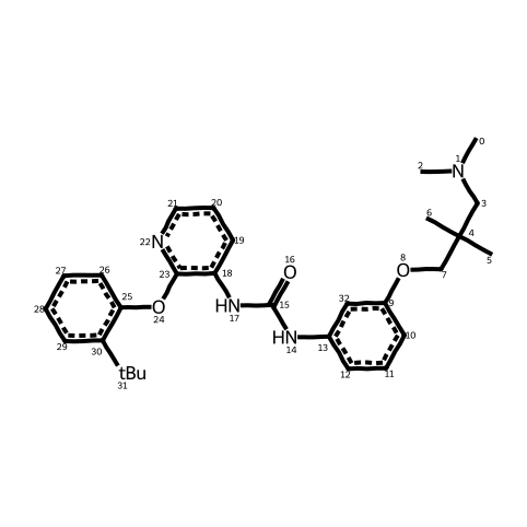 CN(C)CC(C)(C)COc1cccc(NC(=O)Nc2cccnc2Oc2ccccc2C(C)(C)C)c1